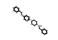 c1ccc(CN[C@H]2CC[C@@H](c3ccc(OCc4ccccc4)cn3)CC2)cc1